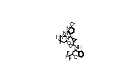 COc1ccc([C@H](C2C[C@H]2C(=O)N[C@H]2CC(C(F)(F)F)Oc3ccccc32)N2C(=N)NC(C)(C)CC2=O)cn1